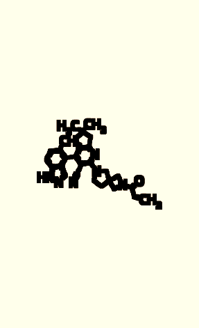 C=CC(=O)N1CC2(CCN(c3nc4c(c(-c5c(C)ccc6[nH]ncc56)c3C#N)CC(C)(C)C4)C2)C1